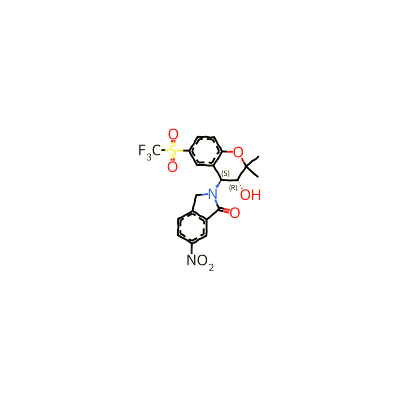 CC1(C)Oc2ccc(S(=O)(=O)C(F)(F)F)cc2[C@H](N2Cc3ccc([N+](=O)[O-])cc3C2=O)[C@H]1O